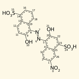 O=[N+]([O-])c1ccc2c(N=Nc3c(O)ccc4c(S(=O)(=O)O)cccc34)c(O)cc(S(=O)(=O)O)c2c1